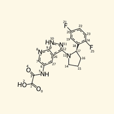 O=C(O)C(=O)Nc1cnc2[nH]nc(N3CCC[C@@H]3c3cc(F)ccc3F)c2c1